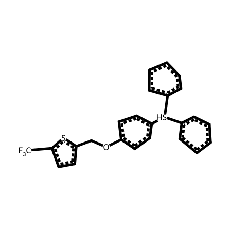 FC(F)(F)c1ccc(COc2ccc([SH](c3ccccc3)c3ccccc3)cc2)s1